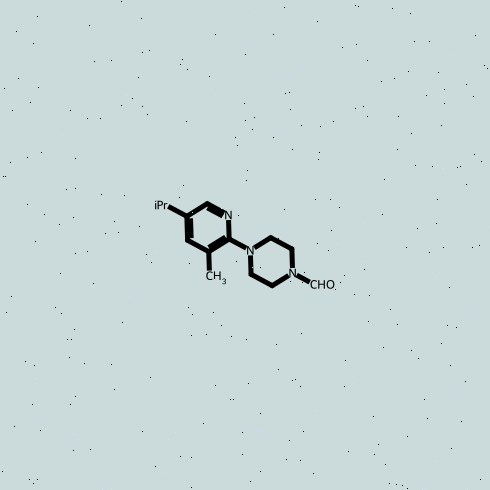 Cc1cc(C(C)C)cnc1N1CCN(C=O)CC1